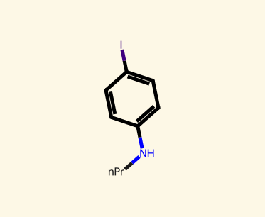 CCCNc1ccc(I)cc1